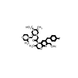 CC(=O)OCc1nc2c(cc1Cc1ccc(F)cc1)N(C(=O)CN1C[C@@H](C)N(C(=O)O)C[C@@H]1CN1CCOCC1C)C(C)CO2